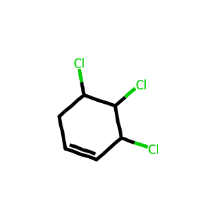 ClC1C=CCC(Cl)C1Cl